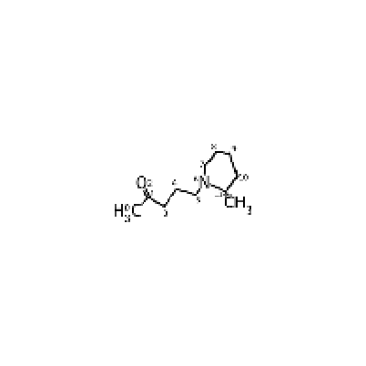 CC(=O)CCCN1CCCCC1C